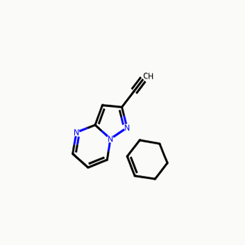 C#Cc1cc2ncccn2n1.C1=CCCCC1